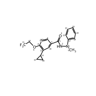 CN(NC(=O)c1cnc(OCC(F)(F)F)c(C2CC2)c1)c1ccccc1